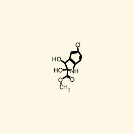 COC(=O)C1(O)Nc2ccc(Cl)cc2C1O